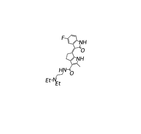 CCN(CC)CCNC(=O)c1c(C)[nH]c2c1CC/C2=C1/C(=O)Nc2ccc(F)cc21